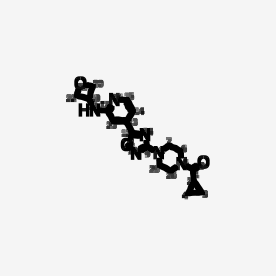 O=C(C1CC1)N1CCN(c2noc(-c3ccnc(NC4COC4)c3)n2)CC1